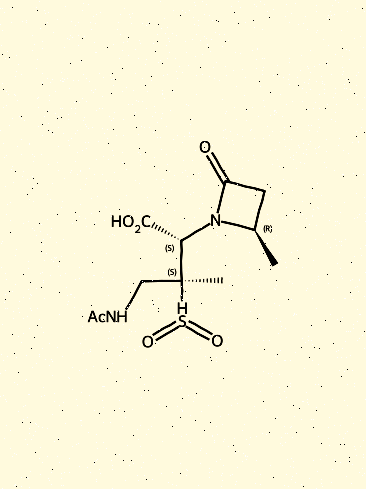 CC(=O)NC[C@@](C)([C@H](C(=O)O)N1C(=O)C[C@H]1C)[SH](=O)=O